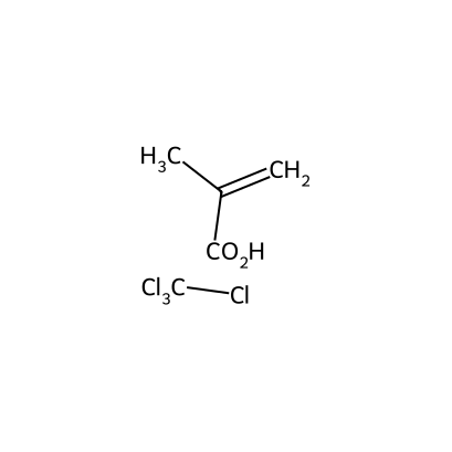 C=C(C)C(=O)O.ClC(Cl)(Cl)Cl